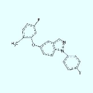 Cc1ccc(F)cc1Oc1ccc2c(cnn2-c2ccc(F)cc2)c1